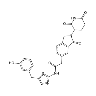 O=C1CCC(N2Cc3ccc(CC(=O)Nc4ncc(Cc5cccc(O)c5)s4)cc3C2=O)C(=O)N1